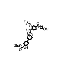 CC(C)(C)OC(=O)Nc1ccc(-c2ccc3nc(Nc4ccc(C(=O)N5CC(O)C5)cc4OCC(F)(F)F)nn3c2)cc1